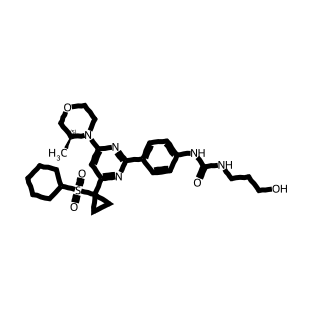 C[C@H]1COCCN1c1cc(C2(S(=O)(=O)C3CCCCC3)CC2)nc(-c2ccc(NC(=O)NCCCO)cc2)n1